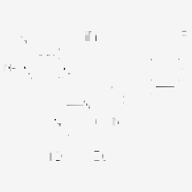 CCc1c(O)nc(-c2cn3ncnc3c(CC(C)C)n2)nc1NC(=O)Cc1ccc(F)cc1